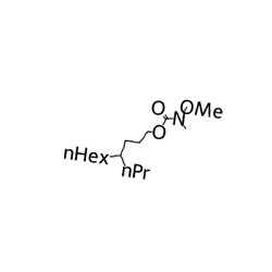 CCCCCCC(CCC)CCCOC(=O)N(C)OC